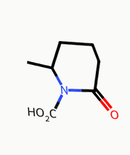 CC1CCCC(=O)N1C(=O)O